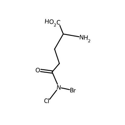 NC(CCC(=O)N(Cl)Br)C(=O)O